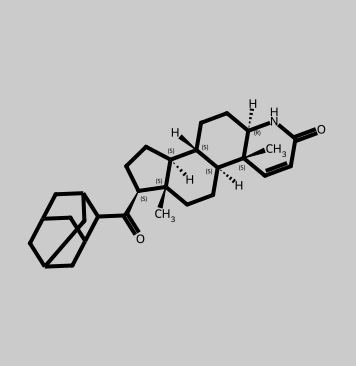 C[C@]12C=CC(=O)N[C@@H]1CC[C@@H]1[C@@H]2CC[C@]2(C)[C@@H](C(=O)C3C4CC5CC(C4)CC3C5)CC[C@@H]12